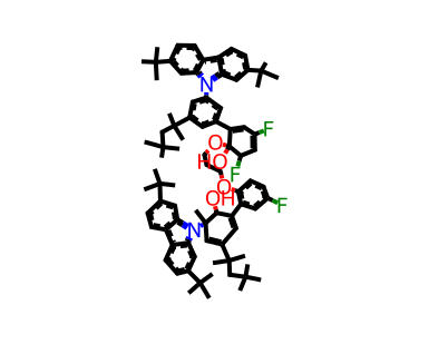 CC(C)(C)CC(C)(C)C1=CC(C)(n2c3cc(C(C)(C)C)ccc3c3ccc(C(C)(C)C)cc32)C(O)C(c2cc(F)ccc2OCCCOC2(O)C(c3cc(-n4c5cc(C(C)(C)C)ccc5c5ccc(C(C)(C)C)cc54)cc(C(C)(C)CC(C)(C)C)c3)=CC(F)=CC2F)=C1